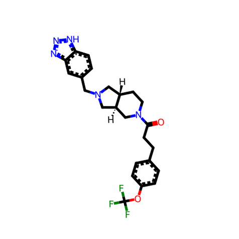 O=C(CCc1ccc(OC(F)(F)F)cc1)N1CC[C@H]2CN(Cc3ccc4[nH]nnc4c3)C[C@@H]2C1